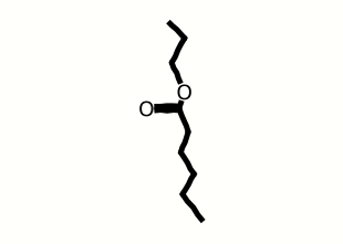 CCCCCC(=O)OCCC